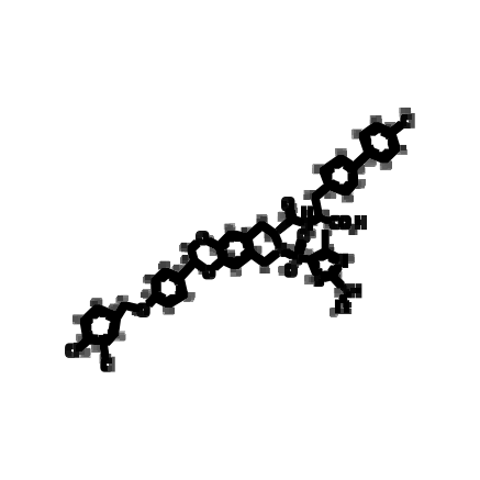 CCNc1nc(C)c(S(=O)(=O)N2Cc3cc4c(cc3C[C@H]2C(=O)N[C@@H](Cc2ccc(-c3ccc(Cl)cc3)cc2)C(=O)O)OCC(c2ccc(OCc3ccc(Cl)c(Cl)c3)cc2)O4)s1